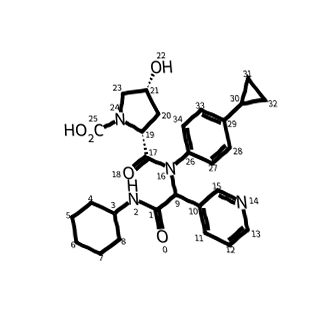 O=C(NC1CCCCC1)C(c1cccnc1)N(C(=O)[C@H]1C[C@@H](O)CN1C(=O)O)c1ccc(C2CC2)cc1